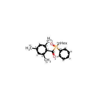 CCCCCCP(=O)(C(=O)c1c(C)cc(C)cc1C)c1ccccc1